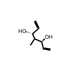 C=C[C@@H](O)C(C)[C@@H](O)C=C